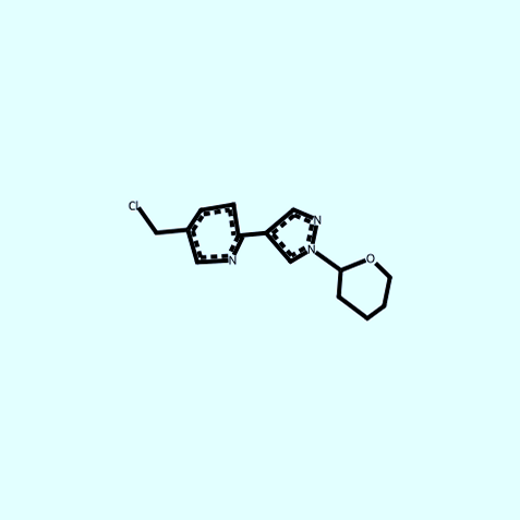 ClCc1ccc(-c2cnn(C3CCCCO3)c2)nc1